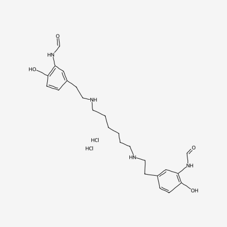 Cl.Cl.O=CNc1cc(CCNCCCCCCNCCc2ccc(O)c(NC=O)c2)ccc1O